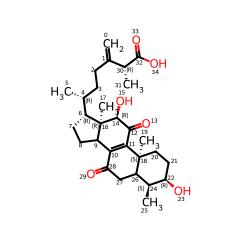 C=C(CC[C@@H](C)[C@H]1CCC2C3=C(C(=O)[C@H](O)[C@@]21C)[C@@]1(C)CC[C@@H](O)[C@@H](C)C1CC3=O)[C@@H](C)C(=O)O